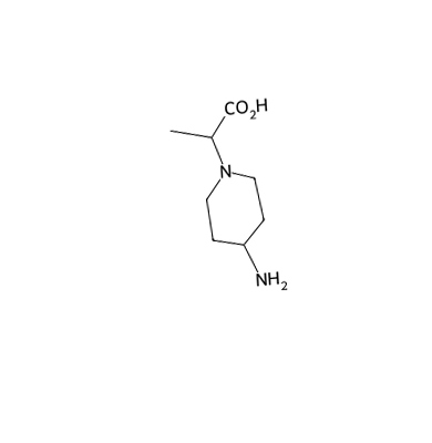 CC(C(=O)O)N1CCC(N)CC1